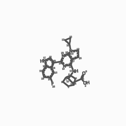 O=C(O)C1C2CCC(CC2)C1Nc1nc(-c2c[nH]c3ccc(F)cc23)nc2c1ccn2C1CC1